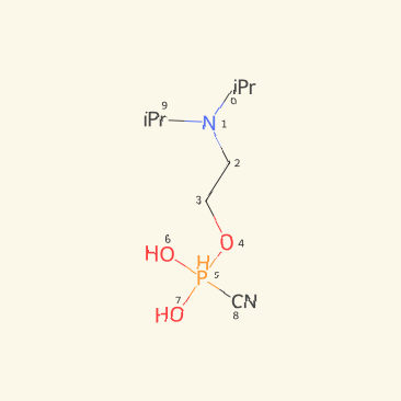 CC(C)N(CCO[PH](O)(O)C#N)C(C)C